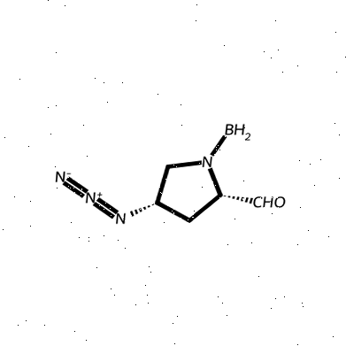 BN1C[C@@H](N=[N+]=[N-])C[C@H]1C=O